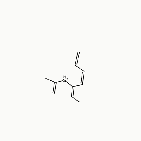 C=C/C=C\C(=C/C)[SiH2]C(=C)C